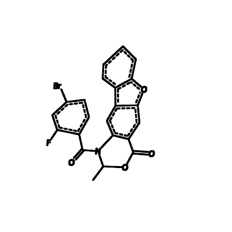 CC1OC(=O)c2cc3oc4ccccc4c3cc2N1C(=O)c1ccc(Br)cc1F